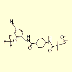 C[S+]([O-])CC(C)(C)C(=O)N[C@H]1CC[C@@H](C(=O)NCc2ccc(C#N)cc2OC(F)(F)F)CC1